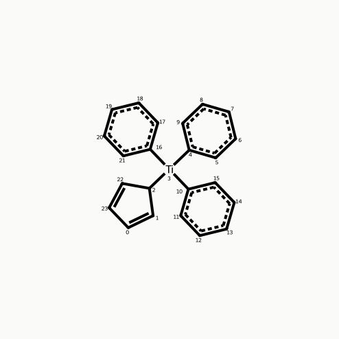 C1=C[CH]([Ti]([c]2ccccc2)([c]2ccccc2)[c]2ccccc2)C=C1